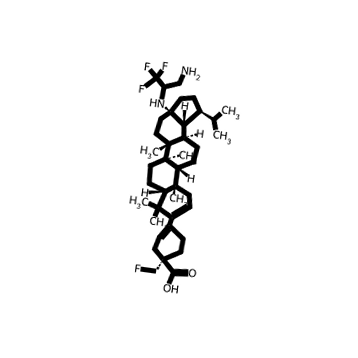 CC(C)[C@@H]1CC[C@]2(NC(CN)C(F)(F)F)CC[C@]3(C)[C@H](CC[C@@H]4[C@@]5(C)CC=C(C6=CC[C@](CF)(C(=O)O)CC6)C(C)(C)[C@@H]5CC[C@]43C)[C@@H]12